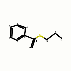 C=C(SCCC)c1ccccc1